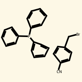 N#Cc1ccc(CBr)cc1.c1ccc(P(c2ccccc2)c2ccccc2)cc1